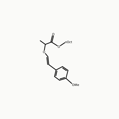 CCCCCCCCOC(=O)C(C)OC=Cc1ccc(OC)cc1